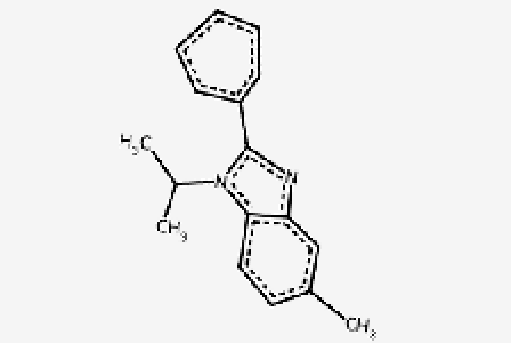 Cc1ccc2c(c1)nc(-c1ccccc1)n2C(C)C